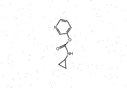 O=C(NC1CC1)Oc1cccnc1